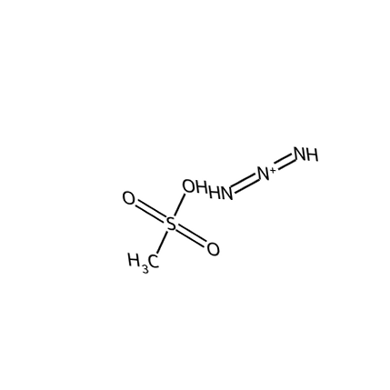 CS(=O)(=O)O.N=[N+]=N